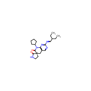 CCC(/C=N/c1ncc2c(n1)N(C1CCCC1)C(=O)[C@]1(CCNC1=O)C2)CC